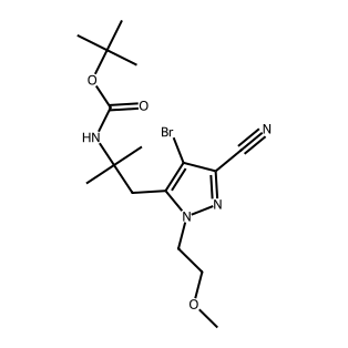 COCCn1nc(C#N)c(Br)c1CC(C)(C)NC(=O)OC(C)(C)C